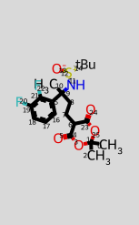 CC1(C)OC(=O)C(CCC(C)(N[S+]([O-])C(C)(C)C)c2cccc(F)c2F)C(=O)O1